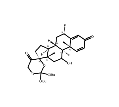 CC(C)COC1(OCC(C)C)OCC(=O)[C@]2(CC[C@H]3[C@@H]4C[C@H](F)C5=CC(=O)C=C[C@]5(C)[C@H]4C(O)C[C@@]32C)O1